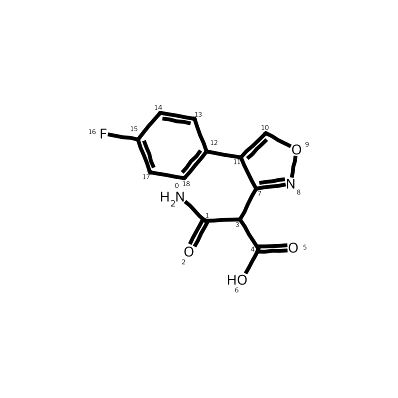 NC(=O)C(C(=O)O)c1nocc1-c1ccc(F)cc1